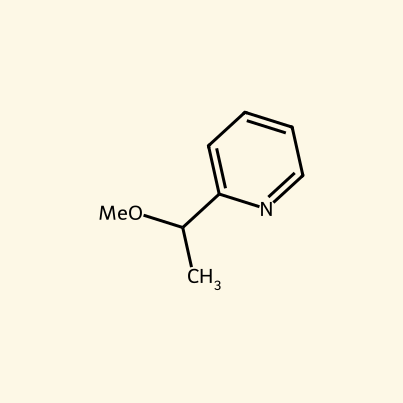 COC(C)c1ccccn1